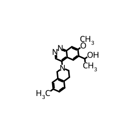 COc1cc2nncc(N3CCc4ccc(C)cc4C3)c2cc1C(C)O